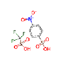 O=S(=O)(O)C(F)(F)F.O=[N+]([O-])c1ccc(S(=O)(=O)O)cc1